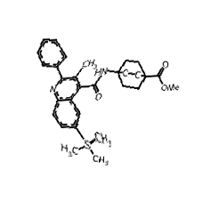 COC(=O)C12CCC(NC(=O)c3c(C)c(-c4ccccc4)nc4ccc(S(C)(C)C)cc34)(CC1)CC2